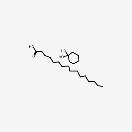 CCCCCCCCCCCCCCCC(=O)O.OC1(O)CCCCC1